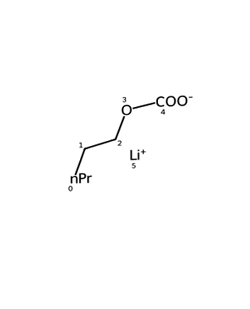 CCCCCOC(=O)[O-].[Li+]